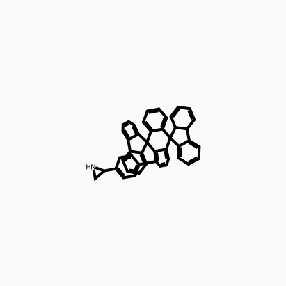 C1=CC2c3ccccc3C3(c4ccccc4C4(c5ccccc5-c5ccccc54)c4c(-c5ccc(C6CN6)cc5)cccc43)C2C=C1